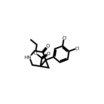 CCOC(=O)C12CNCC(=O)C1(c1ccc(Cl)c(Cl)c1)C2